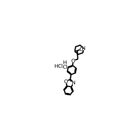 Cl.Cl.c1ccc2oc(-c3ccc(OCC4CN5CCC4CC5)cc3)nc2c1